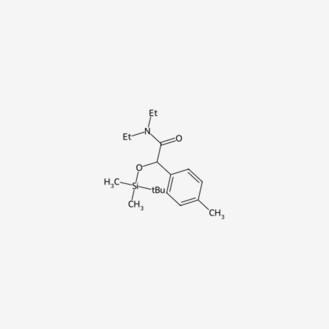 CCN(CC)C(=O)C(O[Si](C)(C)C(C)(C)C)c1ccc(C)cc1